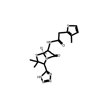 Cc1ccsc1CC(=O)NC1C(=O)N2C(c3nnn[nH]3)C(C)(C)S[C@@H]12